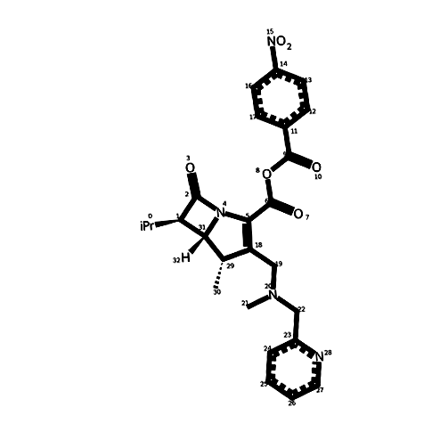 CC(C)[C@H]1C(=O)N2C(C(=O)OC(=O)c3ccc([N+](=O)[O-])cc3)=C(CN(C)Cc3ccccn3)[C@H](C)[C@H]12